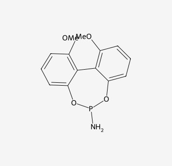 COc1cccc2op(N)oc3cccc(OC)c3c12